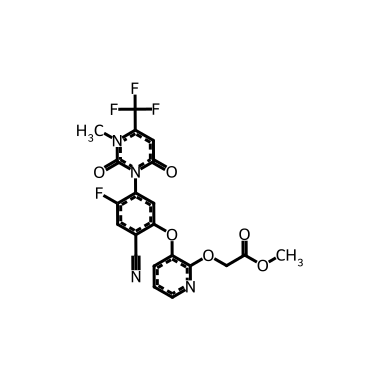 COC(=O)COc1ncccc1Oc1cc(-n2c(=O)cc(C(F)(F)F)n(C)c2=O)c(F)cc1C#N